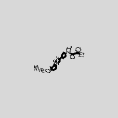 CCC(=O)C(=O)Nc1ccc(-c2cn3c(n2)sc2cc(OC)ccc23)cc1